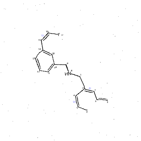 C=C/C=C(\C=C/C)CNCc1cccc(/C=C\F)c1